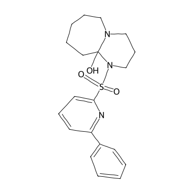 O=S(=O)(c1cccc(-c2ccccc2)n1)N1CCCN2CCCCCC21O